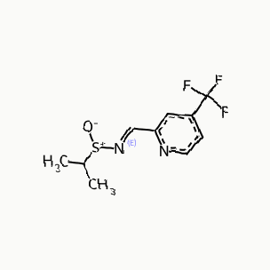 CC(C)[S+]([O-])/N=C/c1cc(C(F)(F)F)ccn1